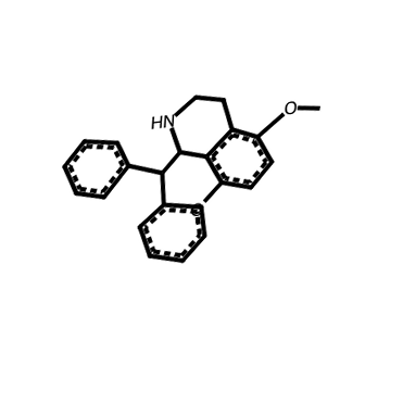 COc1ccc(OC)c2c1CCNC2C(c1ccccc1)c1ccccc1